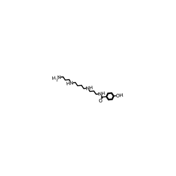 NCCCNCCCCNCCCNC(=O)c1ccc(O)cc1